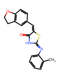 Cc1ccccc1N=C1NC(=O)C(=Cc2ccc3c(c2)CCO3)S1